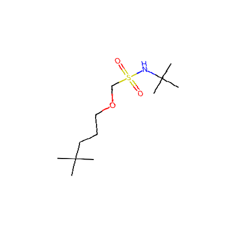 CC(C)(C)CCCOCS(=O)(=O)NC(C)(C)C